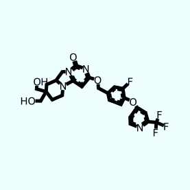 O=c1nc(OCc2ccc(Oc3ccnc(C(F)(F)F)c3)c(F)c2)cc2n1CC1CC(CO)(CO)CCN21